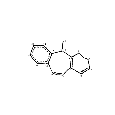 CN1C2=C(C=CCC2)C=Cc2ccccc21